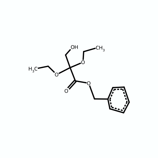 CCOC(CO)(OCC)C(=O)OCc1ccccc1